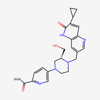 CNC(=O)c1ccc(N2CCN(Cc3cnc4cc(C5CC5)c(=O)[nH]c4c3)[C@H](CO)C2)cn1